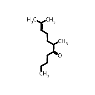 CCCCC(=O)C(C)CCC=C(C)C